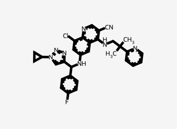 CC(C)(CNc1c(C#N)cnc2c(Cl)cc(NC(c3ccc(F)cc3)c3cn(C4CC4)nn3)cc12)c1ccccn1